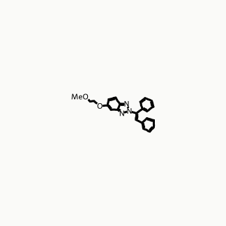 COCCOc1ccc2nn(C(=Cc3ccccc3)c3ccccc3)nc2c1